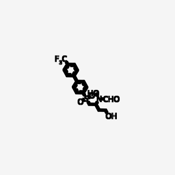 O=CN(O)C(CCO)CS(=O)(=O)c1ccc(-c2ccc(C(F)(F)F)cc2)cc1